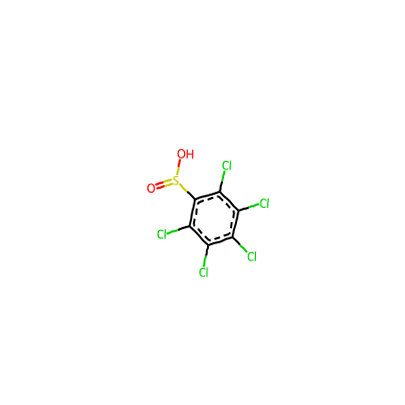 O=S(O)c1c(Cl)c(Cl)c(Cl)c(Cl)c1Cl